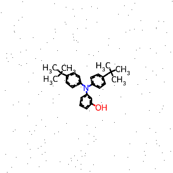 CC(C)(C)c1ccc(N(c2ccc(C(C)(C)C)cc2)c2cccc(O)c2)cc1